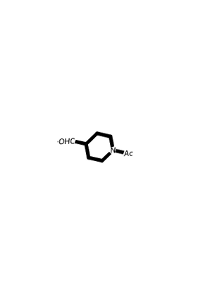 CC(=O)N1CCC([C]=O)CC1